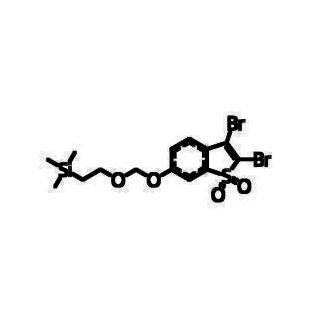 C[Si](C)(C)CCOCOc1ccc2c(c1)S(=O)(=O)C(Br)=C2Br